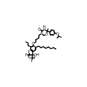 CCCCCCCCc1cc(C(O)(C(F)(F)F)C(F)(F)F)cc(CCC)c1OCCCCN1COC(C)(c2ccc(OC(C)C)cc2)NC1=O